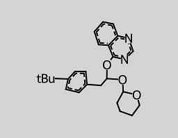 CC(C)(C)c1ccc(CC(Oc2ncnc3ccccc23)OC2CCCCO2)cc1